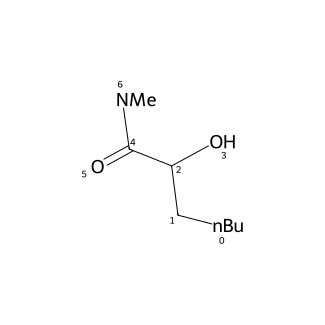 CCCCCC(O)C(=O)NC